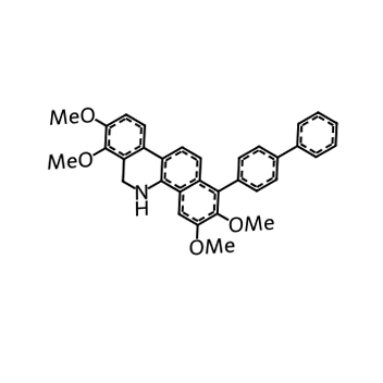 COc1ccc2c(c1OC)CNc1c-2ccc2c(-c3ccc(-c4ccccc4)cc3)c(OC)c(OC)cc12